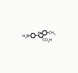 Bc1ccc(-c2cc(C(=O)O)c3cc(C)ccc3n2)cc1